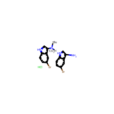 CC(C)(C)N(C(=O)O)c1c[nH]c2ccc(Br)cc12.Cl.Nc1c[nH]c2ccc(Br)cc12